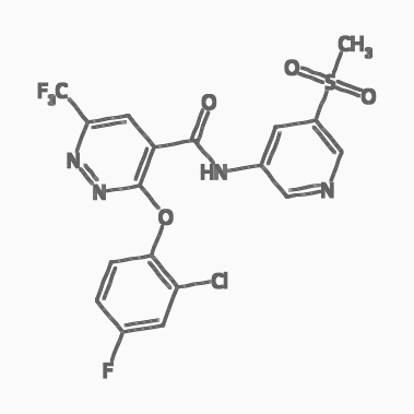 CS(=O)(=O)c1cncc(NC(=O)c2cc(C(F)(F)F)nnc2Oc2ccc(F)cc2Cl)c1